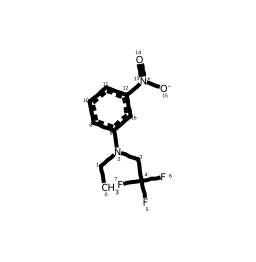 CCN(CC(F)(F)F)c1cccc([N+](=O)[O-])c1